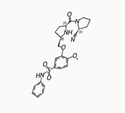 COc1ccc(S(=O)(=O)Nc2ccccc2)cc1OC[C@H]1CC[C@@H](C(=O)N2CCC[C@H]2C#N)N1